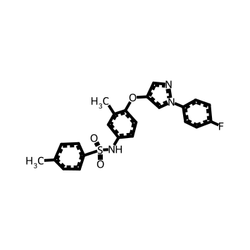 Cc1ccc(S(=O)(=O)Nc2ccc(Oc3cnn(-c4ccc(F)cc4)c3)c(C)c2)cc1